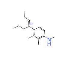 CC/C=C(\CCC)c1ccc(NC)c(C)c1C